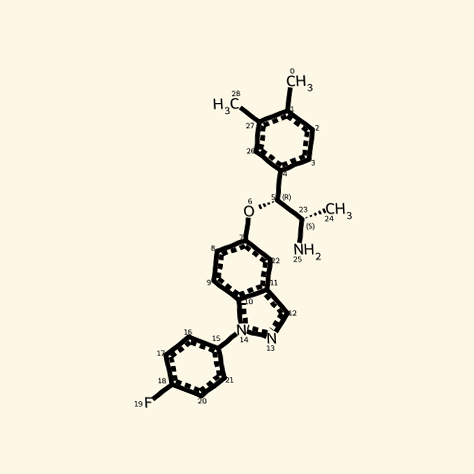 Cc1ccc([C@@H](Oc2ccc3c(cnn3-c3ccc(F)cc3)c2)[C@H](C)N)cc1C